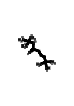 CC(C)(O)CCCC(=O)OC(C)(C)C